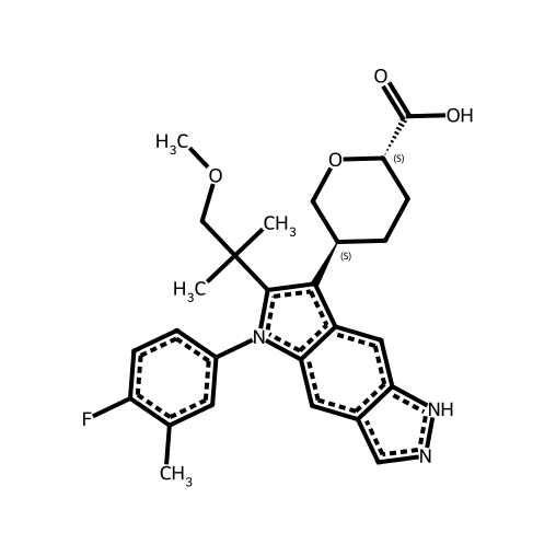 COCC(C)(C)c1c([C@@H]2CC[C@@H](C(=O)O)OC2)c2cc3[nH]ncc3cc2n1-c1ccc(F)c(C)c1